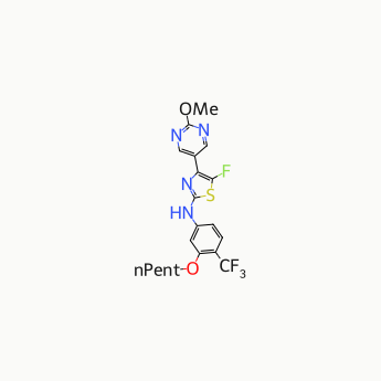 CCCCCOc1cc(Nc2nc(-c3cnc(OC)nc3)c(F)s2)ccc1C(F)(F)F